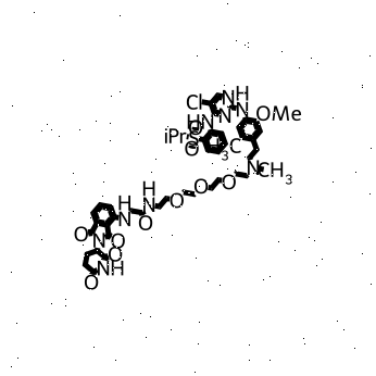 COc1cc(CCN(C)CCOCCOCCOCCNC(=O)CNc2cccc3c2C(=O)N(C2CCC(=O)NC2=O)C3=O)c(C)cc1Nc1ncc(Cl)c(Nc2ccccc2S(=O)(=O)C(C)C)n1